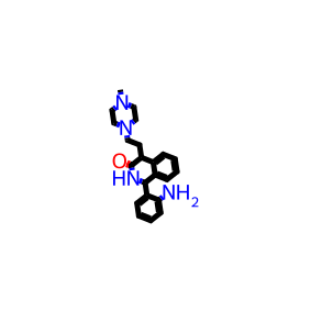 CN1CCN(CCC2C(=O)NC(c3ccccc3N)c3ccccc32)CC1